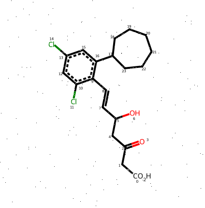 O=C(O)CC(=O)CC(O)C=Cc1c(Cl)cc(Cl)cc1C1CCCCCC1